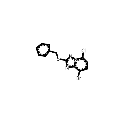 Clc1ccc(Br)c2nc(SCc3ccccc3)nn12